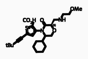 COCCNC[C@H]1OCC(C2CCCCC2)N(c2cc(C#CC(C)(C)C)sc2C(=O)O)C1=O